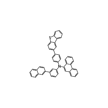 c1cc(-c2ccc3ccccc3c2)cc(N(c2ccc(-c3ccc4sc5ccccc5c4c3)cc2)c2cc3ccccc3c3ccccc23)c1